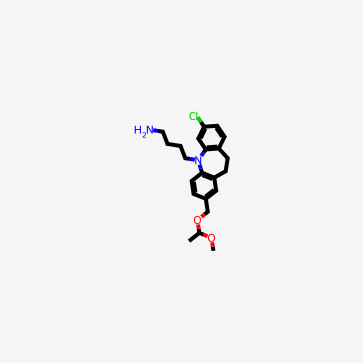 COC(C)OCc1ccc2c(c1)CCc1ccc(Cl)cc1N2CCCCN